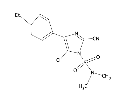 CCc1ccc(-c2nc(C#N)n(S(=O)(=O)N(C)C)c2Cl)cc1